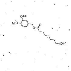 CCCCCCCCCCCCCCCCCC(=O)OCc1ccc(OC(C)=O)c(OC(C)=O)c1